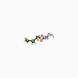 C=CCNS(=O)(=O)c1ccc(-c2ccc(-c3cccs3)s2)s1